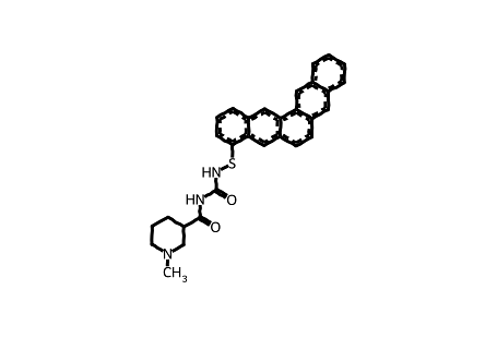 CN1CCCC(C(=O)NC(=O)NSc2cccc3cc4c(ccc5cc6ccccc6cc54)cc23)C1